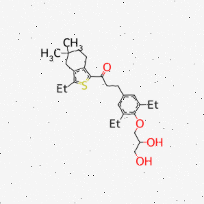 CCc1cc(CCC(=O)c2sc(CC)c3c2CCC(C)(C)C3)cc(CC)c1OCC(O)CO